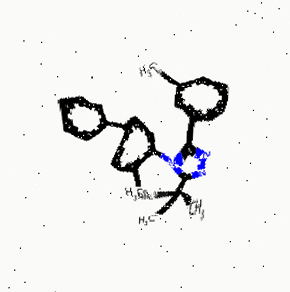 CCCCC(C)(C)c1nnc(-c2cccc(C)c2)n1-c1ccc(-c2ccccc2)cc1C